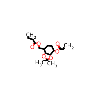 C=CCC(=O)OCC1CCC(OC(=O)C=C)C2OC(C)(C)OC12